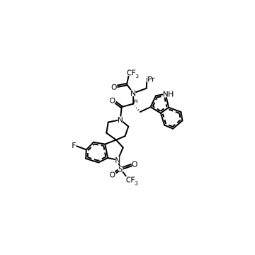 CC(C)CN(C(=O)C(F)(F)F)[C@H](Cc1c[nH]c2ccccc12)C(=O)N1CCC2(CC1)CN(S(=O)(=O)C(F)(F)F)c1ccc(F)cc12